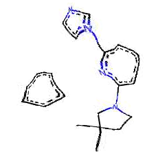 CC1(C)CCN(c2cccc(-n3ccnc3)n2)C1.c1ccccc1